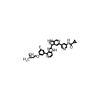 CN(C)CCOc1cc(F)cc(-c2nccc3[nH]c(-c4n[nH]c5cnc(-c6cncc(NC(=O)C7CC7)c6)cc45)nc23)c1